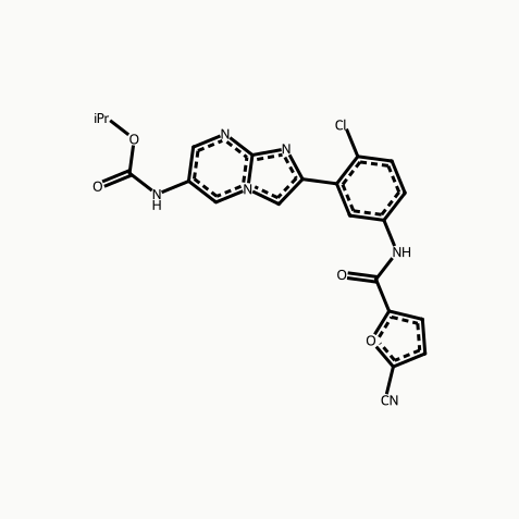 CC(C)OC(=O)Nc1cnc2nc(-c3cc(NC(=O)c4ccc(C#N)o4)ccc3Cl)cn2c1